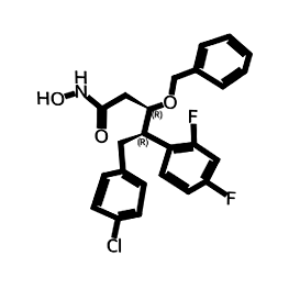 O=C(C[C@@H](OCc1ccccc1)[C@H](Cc1ccc(Cl)cc1)c1ccc(F)cc1F)NO